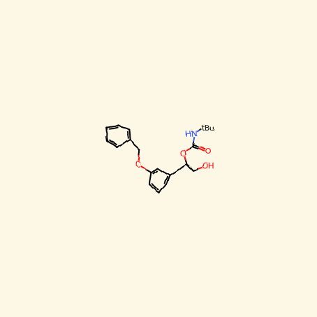 CC(C)(C)NC(=O)OC(CO)c1cccc(OCc2ccccc2)c1